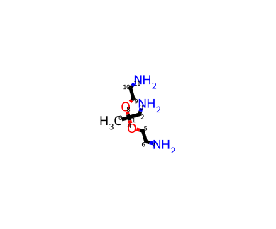 CC(CN)(OCCN)OCCN